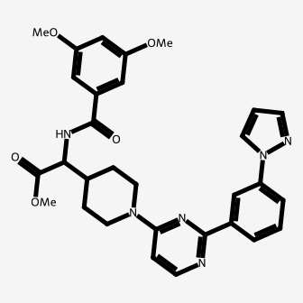 COC(=O)C(NC(=O)c1cc(OC)cc(OC)c1)C1CCN(c2ccnc(-c3cccc(-n4cccn4)c3)n2)CC1